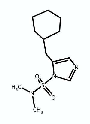 CN(C)S(=O)(=O)n1cncc1CC1CCCCC1